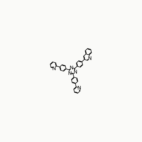 c1ccc(-c2ccc(-c3nc(-c4ccc(-c5cnc6ccccc6c5)cc4)nc(-c4ccc(-c5ccccn5)cc4)n3)cc2)nc1